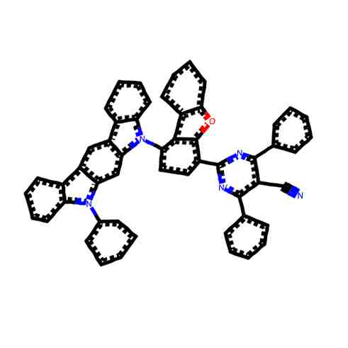 N#Cc1c(-c2ccccc2)nc(-c2ccc(-n3c4ccccc4c4cc5c6ccccc6n(-c6ccccc6)c5cc43)c3c2oc2ccccc23)nc1-c1ccccc1